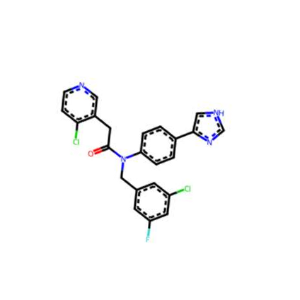 O=C(Cc1cnccc1Cl)N(Cc1cc(F)cc(Cl)c1)c1ccc(-c2c[nH]cn2)cc1